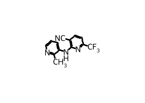 Cc1ncccc1Nc1nc(C(F)(F)F)ccc1C#N